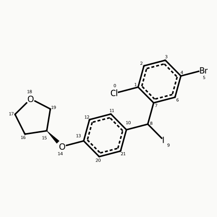 Clc1ccc(Br)cc1C(I)c1ccc(O[C@H]2CCOC2)cc1